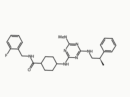 CNc1nc(NC[C@H](C)c2ccccc2)nc(NC2CCC(C(=O)NCc3ccccc3F)CC2)n1